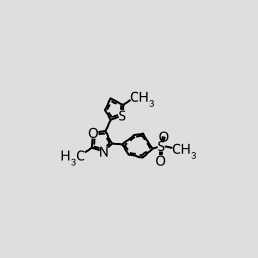 Cc1nc(-c2ccc(S(C)(=O)=O)cc2)c(-c2ccc(C)s2)o1